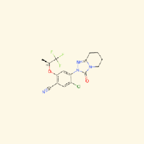 C[C@H](Oc1cc(-n2nc3n(c2=O)CCCC3)c(Cl)cc1C#N)C(F)(F)F